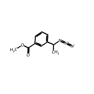 COC(=O)c1cccc(C(C)N=[N+]=[N-])c1